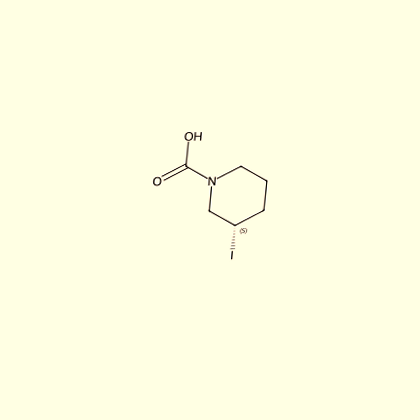 O=C(O)N1CCC[C@H](I)C1